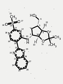 CC1(C)O[C@@H]2[C@@H](CO)C[C@@H](Nc3nc(S(C)(=O)=O)ncc3-c3nc4ccccc4s3)[C@@H]2O1